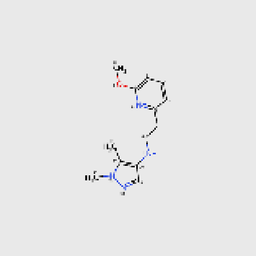 COc1cccc(CCNc2cnn(C)c2C)n1